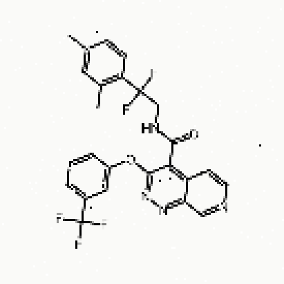 Cc1ccc(C(F)(F)CNC(=O)c2c(Oc3cccc(C(F)(F)F)c3)nnc3cnccc23)c(C)c1